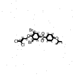 CC(C)Oc1ccc(S(=O)(=O)c2cc(Br)c(OCC=C(Cl)Cl)c(Br)c2)cc1